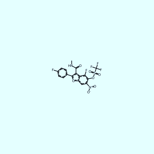 CNC(=O)c1c(-c2ccc(F)cc2)oc2cc([N+](=O)[O-])c(OS(=O)(=O)C(F)(F)F)c(F)c12